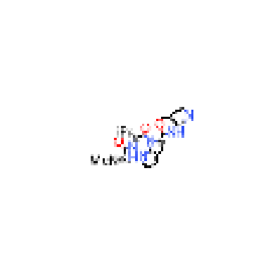 CN[C@@H](C)C(=O)N[C@H](C(=O)N1c2ncccc2C[C@@H]1C(=O)Nc1cnccc1C)C(C)C